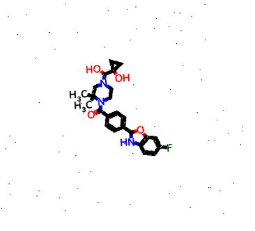 CC1(C)CN(C(O)C2(O)CC2)CCN1C(=O)c1ccc(C2Nc3ccc(F)cc3O2)cc1